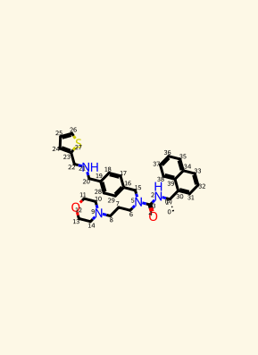 C[C@H](NC(=O)N(CCCN1CCOCC1)Cc1ccc(CNCc2cccs2)cc1)c1cccc2ccccc12